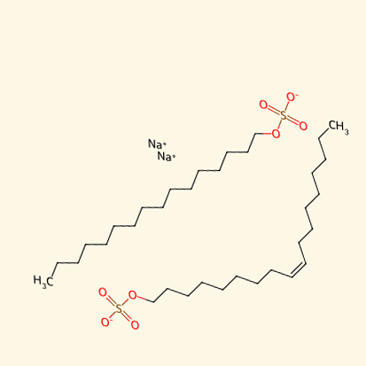 CCCCCCCC/C=C\CCCCCCCCOS(=O)(=O)[O-].CCCCCCCCCCCCCCCCOS(=O)(=O)[O-].[Na+].[Na+]